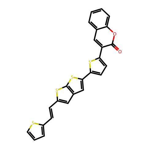 O=c1oc2ccccc2cc1-c1ccc(-c2cc3cc(/C=C/c4cccs4)sc3s2)s1